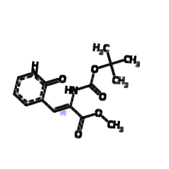 COC(=O)/C(=C/c1ccc[nH]c1=O)NC(=O)OC(C)(C)C